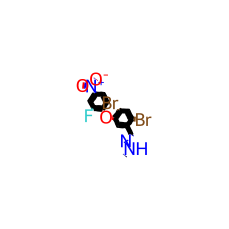 CNN=Cc1cc(Oc2ccc([N+](=O)[O-])cc2F)c(Br)cc1Br